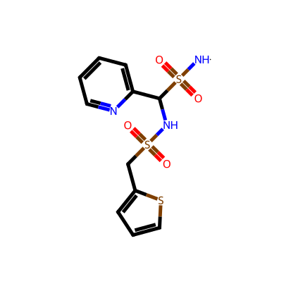 [NH]S(=O)(=O)C(NS(=O)(=O)Cc1cccs1)c1ccccn1